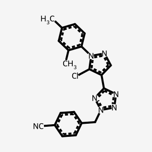 Cc1ccc(-n2ncc(-c3nnn(Cc4ccc(C#N)cc4)n3)c2Cl)c(C)c1